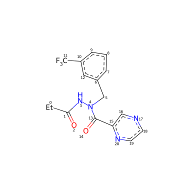 CCC(=O)NN(Cc1cccc(C(F)(F)F)c1)C(=O)c1cnccn1